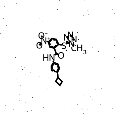 Cn1nnnc1Sc1ccc([N+](=O)[O-])cc1C(=O)Nc1ccc(C2CCC2)cc1